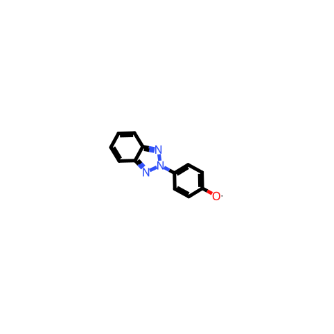 [O]c1ccc(-n2nc3ccccc3n2)cc1